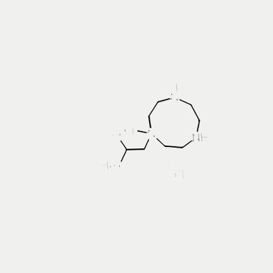 CCCCCCC([O-])C[N+]1([Cr])CCNCCNCC1.[Cl-].[Cl-]